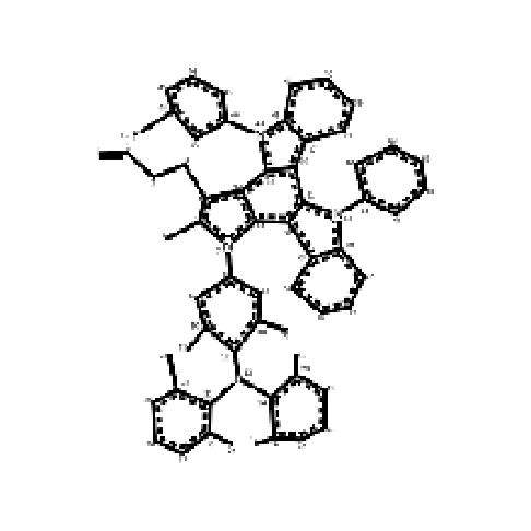 C=CCCc1c(C)n(-c2cc(C)c(B(c3c(C)cccc3C)c3c(C)cccc3C)c(C)c2)c2c1c1c(c3ccccc3n1-c1cccc(F)c1)c1c2c2ccccc2n1-c1ccccc1